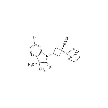 CC1(C)C(=O)N([C@H]2C[C@@](C#N)(N3CC4CCC3CO4)C2)c2cc(Br)cnc21